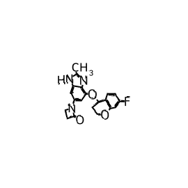 Cc1nc2c(OC3CCOc4cc(F)ccc43)cc(N3CCC3=O)cc2[nH]1